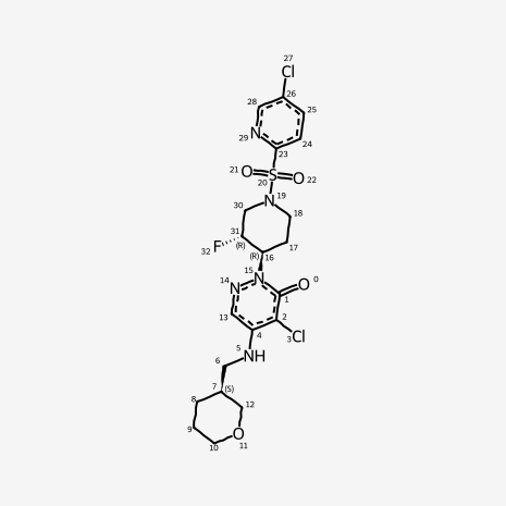 O=c1c(Cl)c(NC[C@@H]2CCCOC2)cnn1[C@@H]1CCN(S(=O)(=O)c2ccc(Cl)cn2)C[C@H]1F